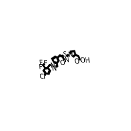 O=C(O)CC1CCN(C2=NC(=O)C(=Cc3ccc4c(cnn4Cc4ccc(Cl)cc4C(F)(F)F)c3)S2)C1